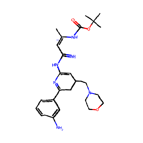 C/C(=C/C(=N)NC1=CC(CN2CCOCC2)CC(c2cccc(N)c2)=N1)NC(=O)OC(C)(C)C